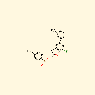 Cc1ccc(S(=O)(=O)OCC2Cc3cc(-c4cccc(C(F)(F)F)c4)cc(F)c3O2)cc1